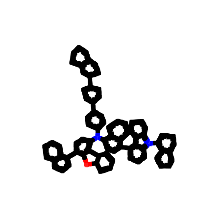 C1=CC2Oc3c(-c4cccc5ccccc45)ccc(N(c4ccc(-c5ccc(-c6ccc7ccccc7c6)cc5)cc4)c4ccc(-c5cccc6c5c5ccccc5n6-c5cccc6ccccc56)c5ccccc45)c3C2C=C1